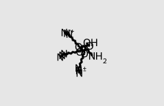 [N-]=[N+]=NCCCCCCOc1cc(C(=O)O)c(CCCN)c(OCCCCCCN=[N+]=[N-])c1OCCCCCCN=[N+]=[N-]